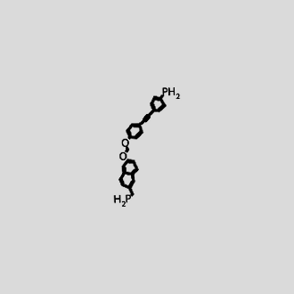 PCc1ccc2cc(OCOc3ccc(C#Cc4ccc(P)cc4)cc3)ccc2c1